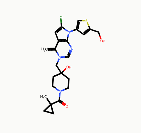 C=C1c2cc(Cl)n(-c3csc(CO)c3)c2N=CN1CC1(O)CCN(C(=O)C2(C)CC2)CC1